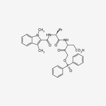 Cc1c(C(=O)N[C@H](C(=O)NC(CC(=O)O)C(=O)COP(=O)(c2ccccc2)c2ccccc2)C(C)C)n(C)c2ccccc12